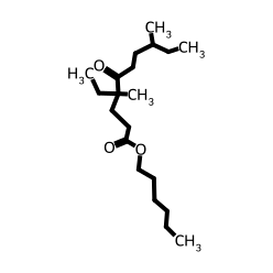 CCCCCCOC(=O)CCC(C)(CC)C(=O)CCC(C)CC